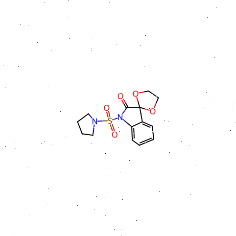 O=C1N(S(=O)(=O)N2CCCC2)c2ccccc2C12OCCO2